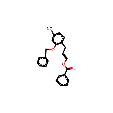 N#Cc1ccc(CC=COC(=O)c2ccccc2)c(OCc2ccccc2)c1